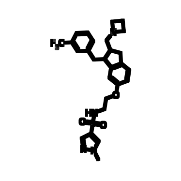 Cn1cc(S(=O)(=O)NCCOc2ccc3c(c2)C(Cc2cccc(C(F)(F)F)c2)C(CN2CCC2)C3)cn1